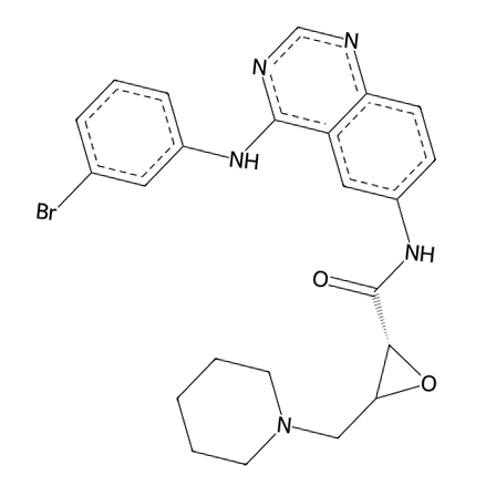 O=C(Nc1ccc2ncnc(Nc3cccc(Br)c3)c2c1)[C@@H]1OC1CN1CCCCC1